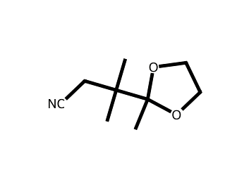 CC(C)(CC#N)C1(C)OCCO1